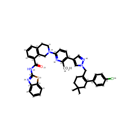 CC1(C)CCC(Cn2cc(-c3ccc(N4CCc5cccc(C(=O)Nc6nc7ccccc7s6)c5C4)nc3C(=O)O)cn2)=C(c2ccc(Cl)cc2)C1